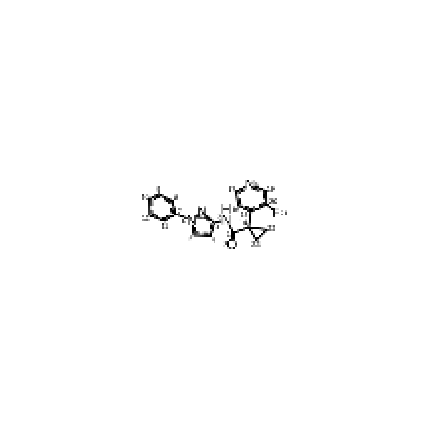 O=C(Nc1ccn(-c2ccccc2)n1)C1(c2ccncc2F)CC1